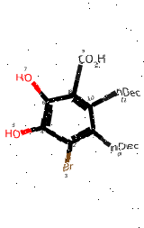 CCCCCCCCCCc1c(Br)c(O)c(O)c(C(=O)O)c1CCCCCCCCCC